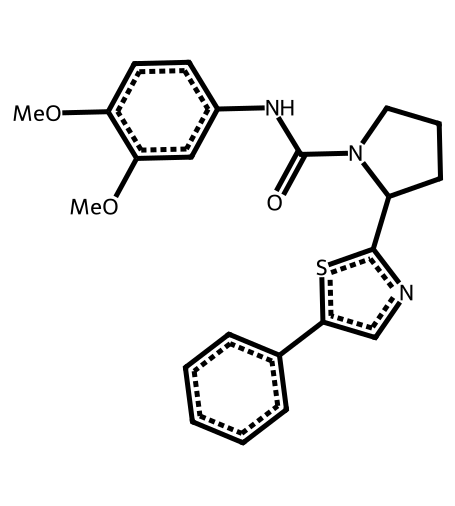 COc1ccc(NC(=O)N2CCCC2c2ncc(-c3ccccc3)s2)cc1OC